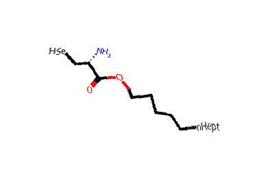 CCCCCCCCCCCCOC(=O)[C@@H](N)C[SeH]